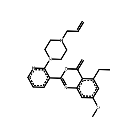 C=CCN1CCN(c2ncccc2C2=Nc3cc(OC)cc(CC)c3C(=C)O2)CC1